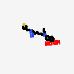 CCCN(CCCCCCNCCc1ccsc1)C1CCc2c(ccc(O)c2O)C1